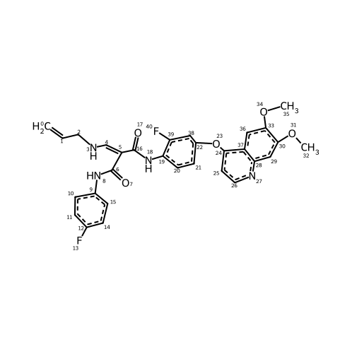 C=CCN/C=C(\C(=O)Nc1ccc(F)cc1)C(=O)Nc1ccc(Oc2ccnc3cc(OC)c(OC)cc23)cc1F